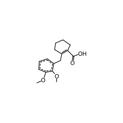 COc1cccc(CC2=C(C(=O)O)CCCC2)c1OC